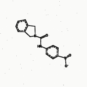 O=C(Nc1ccc([N+](=O)[O-])cc1)N1Cc2ccccc2C1